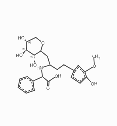 COc1cc(CCC(CC2OC[C@@H](O)[C@H](O)[C@H]2O)NC(C(=O)O)c2ccccc2)ccc1O